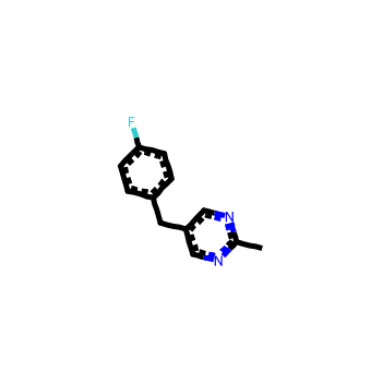 Cc1ncc(Cc2ccc(F)cc2)cn1